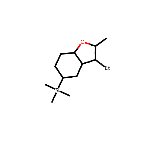 CCC1C(C)OC2CCC([Si](C)(C)C)CC21